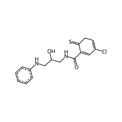 O=C(NCC(O)CNc1ccccc1)C1=CC(Cl)=CCC1=S